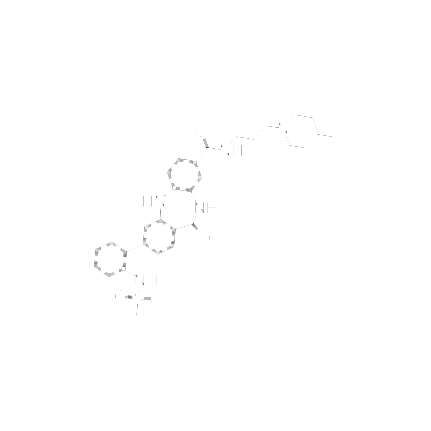 CC1CCN(CCCNC(=O)c2ccc3c(c2)NC(=O)c2ccc(-c4ccccc4NS(C)(=O)=O)cc2N3)CC1